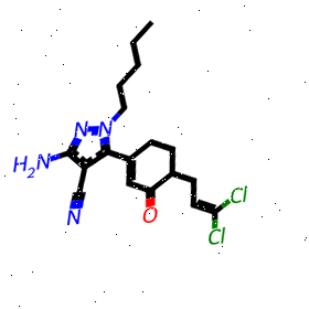 CCCCCn1nc(N)c(C#N)c1C1=CC(=O)C(CC=C(Cl)Cl)CC1